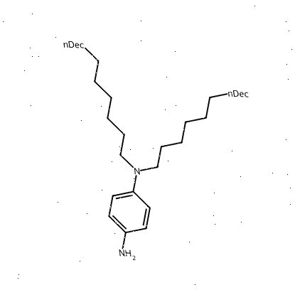 CCCCCCCCCCCCCCCCN(CCCCCCCCCCCCCCCC)c1ccc(N)cc1